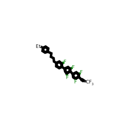 CCc1ccc(CCCCc2ccc(-c3cc(F)c(-c4cc(F)c(C#CC(F)(F)F)c(F)c4)c(F)c3)c(F)c2)cc1